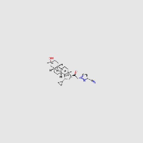 C[C@@]1(O)CC[C@H]2[C@H](CC[C@@H]3[C@@H]2CC[C@]2(C)[C@@H](C(=O)Cn4ccc(C#N)n4)CC(C4CC4)[C@@H]32)C1